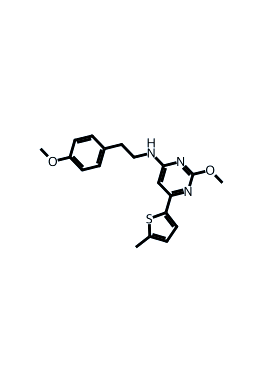 COc1ccc(CCNc2cc(-c3ccc(C)s3)nc(OC)n2)cc1